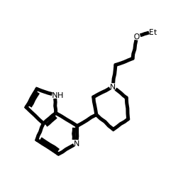 CCOCCN1CCCC(c2nccc3cc[nH]c23)C1